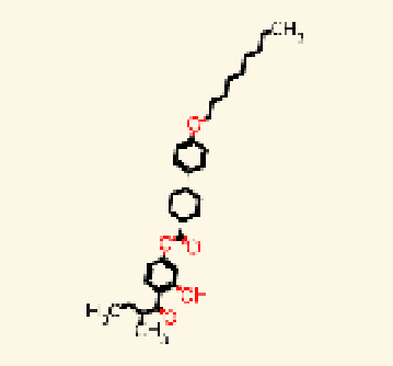 CCCCCCCCCOc1ccc([C@H]2CC[C@H](C(=O)Oc3ccc(C(=O)C(C)CC)c(O)c3)CC2)cc1